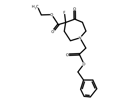 CCOC(=O)C1(F)CCN(CC(=O)OCc2ccccc2)CCC1=O